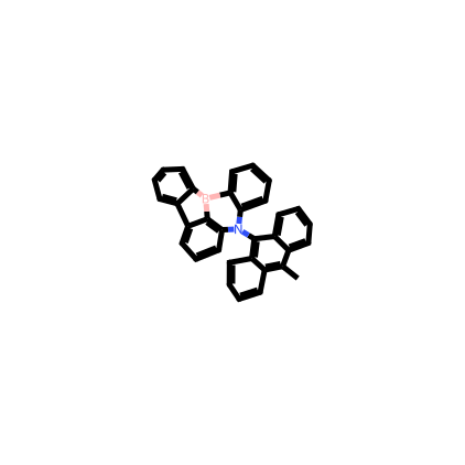 Cc1c2ccccc2c(N2c3ccccc3B3c4ccccc4-c4cccc2c43)c2ccccc12